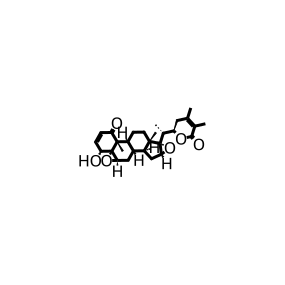 CC1=C(C)C(=O)O[C@@H]([C@@H](C)[C@@]23O[C@@H]2C[C@H]2[C@@H]4C[C@H]5O[C@]56[C@@H](O)C=CC(=O)[C@]6(C)[C@H]4CC[C@@]23C)C1